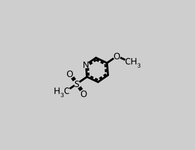 COc1ccc(S(C)(=O)=O)nc1